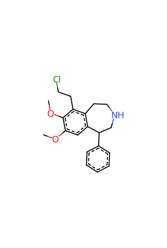 COc1cc2c(c(CCCl)c1OC)CCNCC2c1ccccc1